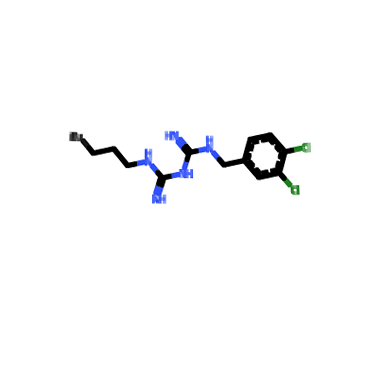 CCC(C)CCCNC(=N)NC(=N)NCc1ccc(Cl)c(Cl)c1